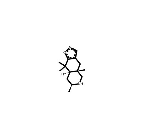 C[C@H]1C[C@H]2C(C)(C)c3oncc3C[C@]2(C)CN1